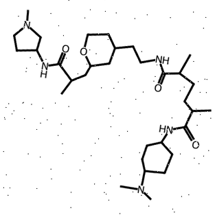 CC(CCC(C)C(=O)NC1CCC(N(C)C)CC1)C(=O)NCCC1CCOC(CC(C)C(=O)NC2CCN(C)C2)C1